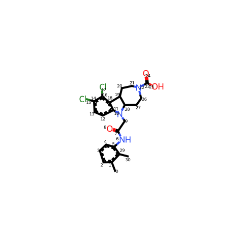 Cc1cccc(NC(=O)CN2c3ccc(Cl)c(Cl)c3C3CCN(C(=O)O)CCC32)c1C